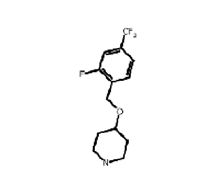 Fc1cc(C(F)(F)F)ccc1COC1CC[N]CC1